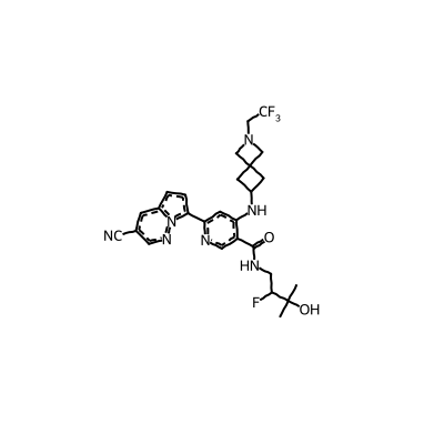 CC(C)(O)C(F)CNC(=O)c1cnc(-c2ccc3cc(C#N)cnn23)cc1NC1CC2(C1)CN(CC(F)(F)F)C2